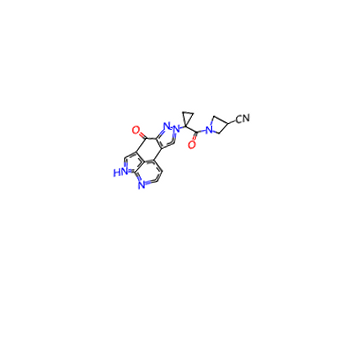 N#CC1CN(C(=O)C2(n3cc4c(n3)C(=O)c3c[nH]c5nccc-4c35)CC2)C1